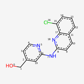 OCc1ccnc(Nc2ccc3cccc(Cl)c3n2)c1